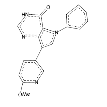 COc1ccc(-c2cn(-c3ccccc3)c3c(=O)[nH]cnc23)cn1